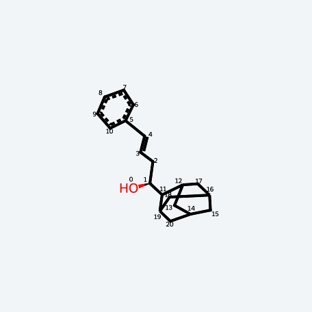 O[C@@H](C/C=C/c1ccccc1)C1C2CC3CC(C2)CC1C3